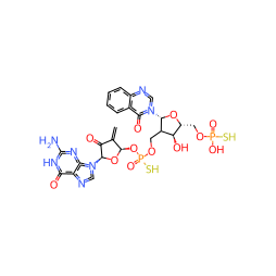 C=C1C(=O)[C@H](n2cnc3c(=O)[nH]c(N)nc32)O[C@@H]1OP(=O)(S)OCC1[C@H](n2cnc3ccccc3c2=O)O[C@H](COP(=O)(O)S)[C@H]1O